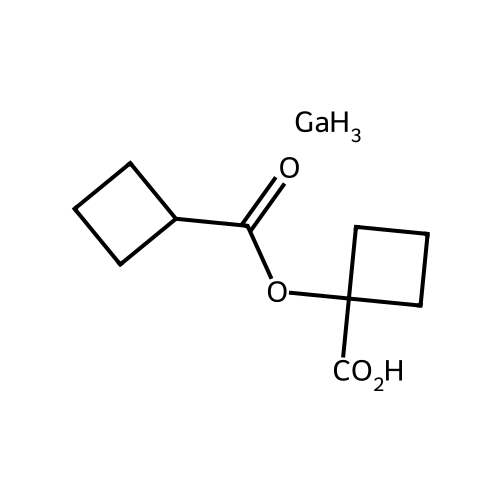 O=C(OC1(C(=O)O)CCC1)C1CCC1.[GaH3]